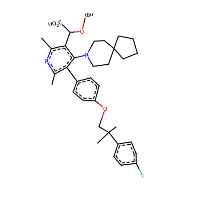 Cc1nc(C)c(C(OC(C)(C)C)C(=O)O)c(N2CCC3(CCCC3)CC2)c1-c1ccc(OCC(C)(C)c2ccc(F)cc2)cc1